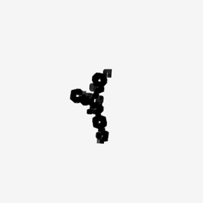 Cn1c(-c2ccc(-n3ccnc3)cc2)cnc1C(Cc1ccccn1)NC(=O)c1cc2cc(Cl)ccc2o1